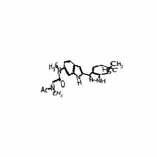 CC(=O)N(C)CC(=O)N(C)c1ccc2cc(-c3n[nH]c4c3CCC(C)(C)C4)[nH]c2c1